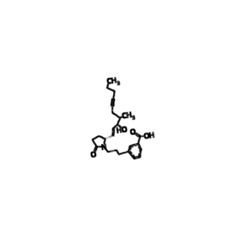 CCCC#CCC(C)C(O)/C=C/[C@H]1CCC(=O)N1CCCc1cccc(C(=O)O)c1